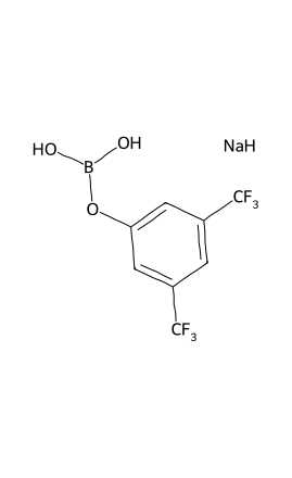 OB(O)Oc1cc(C(F)(F)F)cc(C(F)(F)F)c1.[NaH]